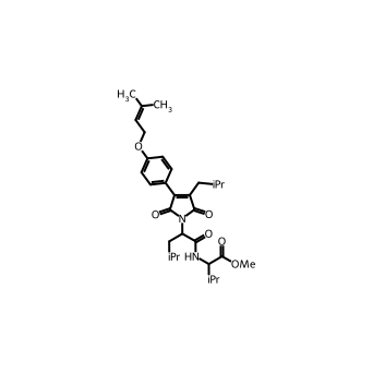 COC(=O)C(NC(=O)C(CC(C)C)N1C(=O)C(CC(C)C)=C(c2ccc(OCC=C(C)C)cc2)C1=O)C(C)C